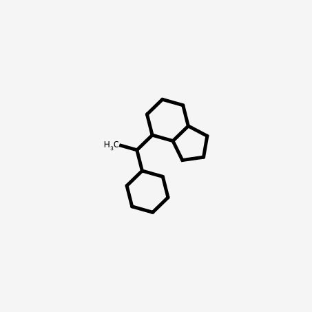 CC(C1CCCCC1)C1CCCC2CCCC21